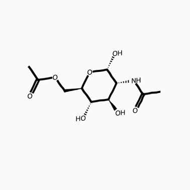 CC(=O)N[C@@H]1[C@@H](O)[C@H](O)[C@@H](COC(C)=O)O[C@@H]1O